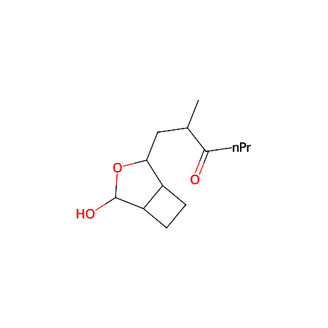 CCCC(=O)C(C)CC1OC(O)C2CCC12